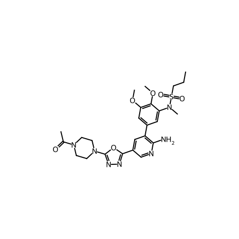 CCCS(=O)(=O)N(C)c1cc(-c2cc(-c3nnc(N4CCN(C(C)=O)CC4)o3)cnc2N)cc(OC)c1OC